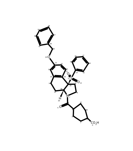 O=C(O)C1CCC(C(=O)N2CC[C@@]3(S(=O)(=O)c4ccccc4)c4ccc(OCc5ccccc5)cc4CC[C@@H]23)CC1